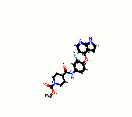 CC(C)(C)OC(=O)N1CCC(C(=O)Nc2ccc(Oc3ccnc4[nH]ccc34)c(F)c2)CC1